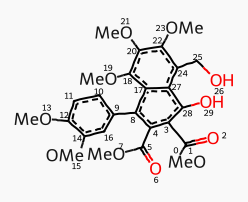 COC(=O)c1c(C(=O)OC)c(-c2ccc(OC)c(OC)c2)c2c(OC)c(OC)c(OC)c(CO)c2c1O